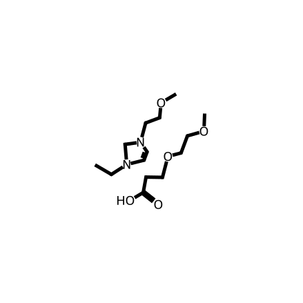 CCN1C=CN(CCOC)C1.COCCOCCC(=O)O